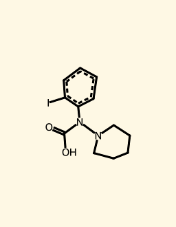 O=C(O)N(c1ccccc1I)N1CCCCC1